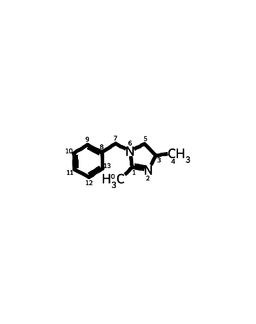 CC1=NC(C)CN1Cc1ccccc1